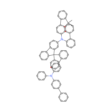 CC1(C)c2ccccc2-c2ccc(N(c3ccc4c(c3)C(c3ccccc3)(c3ccccc3-c3ccc(N(c5ccccc5)c5ccc(-c6ccccc6)cc5)cc3)c3ccccc3-4)c3ccccc3-c3ccccc3)cc21